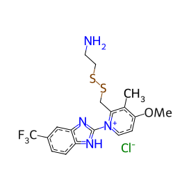 COc1cc[n+](-c2nc3cc(C(F)(F)F)ccc3[nH]2)c(CSSCCN)c1C.[Cl-]